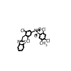 Cc1cc(S(=O)(=O)Nc2cc(Cl)c(Cc3nc4ccccc4s3)c(Cl)c2)c(Cl)cc1Cl